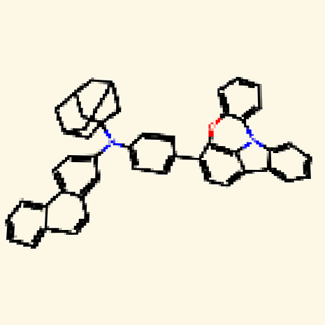 c1ccc2c(c1)Oc1c(-c3ccc(N(c4ccc5c(ccc6ccccc65)c4)C45CC6CC(CC(C6)C4)C5)cc3)ccc3c4ccccc4n-2c13